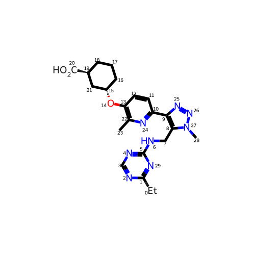 CCc1ncnc(NCc2c(-c3ccc(O[C@H]4CCC[C@H](C(=O)O)C4)c(C)n3)nnn2C)n1